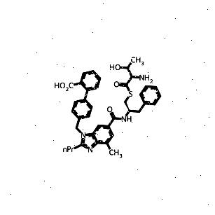 CCCc1nc2c(C)cc(C(=O)N[C@@H](CSC(=O)C(N)C(C)O)Cc3ccccc3)cc2n1Cc1ccc(-c2ccccc2C(=O)O)cc1